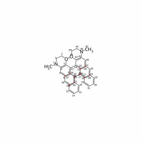 CN1CCOc2c1ccc(P(c1ccccc1)c1ccccc1)c2-c1c(P(c2ccccc2)c2ccccc2)ccc2c1OCCN2C